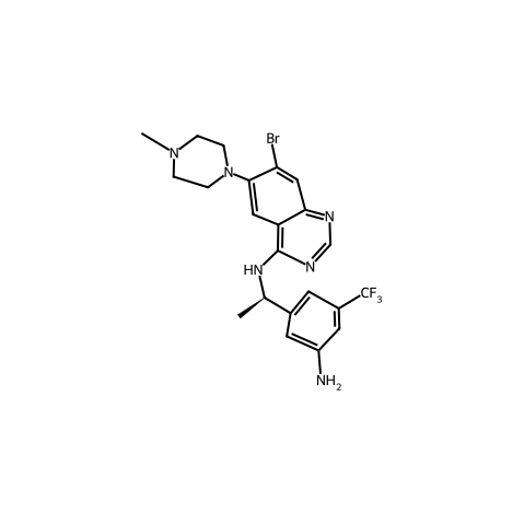 C[C@@H](Nc1ncnc2cc(Br)c(N3CCN(C)CC3)cc12)c1cc(N)cc(C(F)(F)F)c1